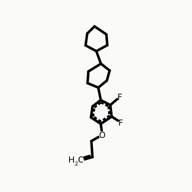 C=CCOc1ccc(C2CCC(C3CCCCC3)CC2)c(F)c1F